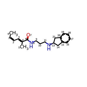 C/C=C\C=C(/C)C(=O)NCCCNC1Cc2ccccc2C1